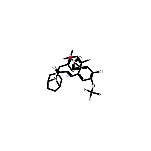 CN(C)S(=O)(=O)c1cc(Cl)c(OC(F)(F)F)cc1/C=C/C(=O)N1C2CCC1CN(Cc1ccc(F)cc1)C2